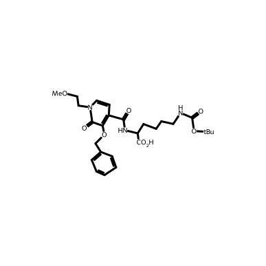 COCCn1ccc(C(=O)NC(CCCCNC(=O)OC(C)(C)C)C(=O)O)c(OCc2ccccc2)c1=O